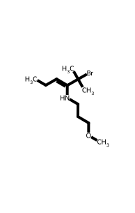 CC/C=C(\NCCCOC)C(C)(C)Br